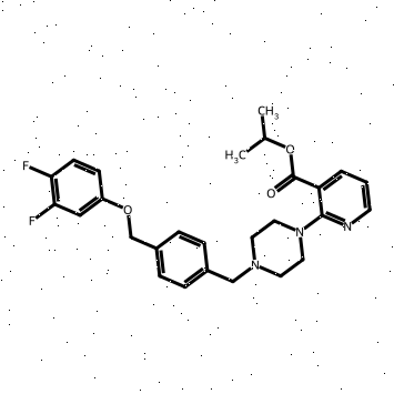 CC(C)OC(=O)c1cccnc1N1CCN(Cc2ccc(COc3ccc(F)c(F)c3)cc2)CC1